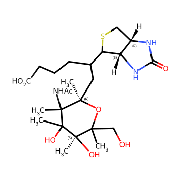 CC(=O)NC1(C)C(C)(O)[C@](C)(O)C(C)(CO)O[C@]1(C)CC(CCCC(=O)O)C1SC[C@@H]2NC(=O)N[C@H]12